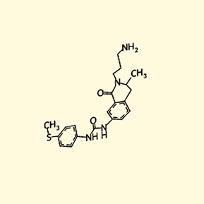 CSc1ccc(NC(=O)Nc2ccc3c(c2)C(=O)N(CCCN)C(C)C3)cc1